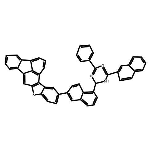 c1ccc(C2=NC(c3cccc4cc(-c5ccc6sc7cc8c9c(cccc9c7c6c5)-c5ccccc5-8)ccc34)NC(c3ccc4ccccc4c3)=N2)cc1